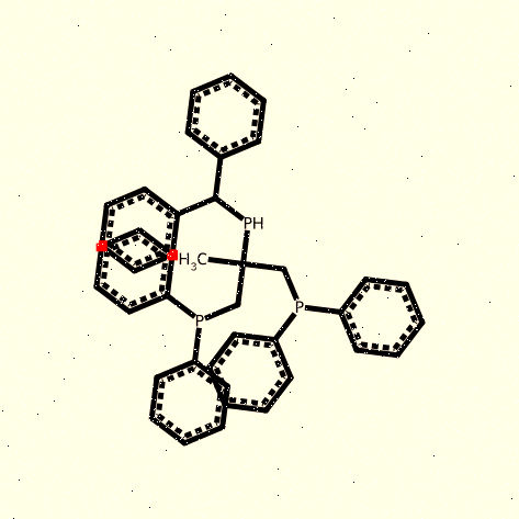 CC(CP(c1ccccc1)c1ccccc1)(CP(c1ccccc1)c1ccccc1)PC(c1ccccc1)c1ccccc1